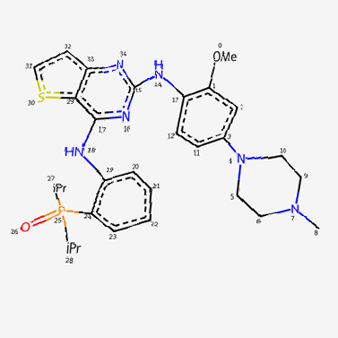 COc1cc(N2CCN(C)CC2)ccc1Nc1nc(Nc2ccccc2P(=O)(C(C)C)C(C)C)c2sccc2n1